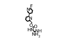 N=C(N)NC(=O)OCc1cccc(-c2ccc(F)nc2)n1